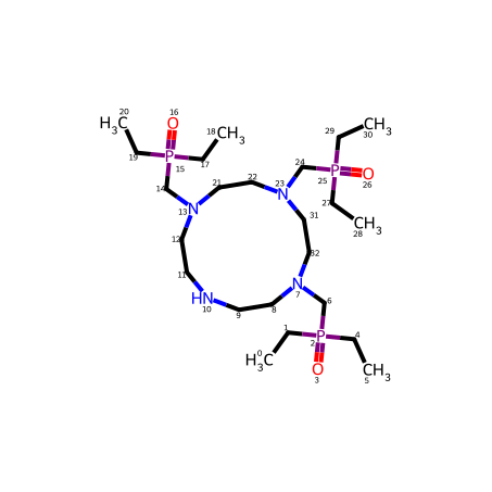 CCP(=O)(CC)CN1CCNCCN(CP(=O)(CC)CC)CCN(CP(=O)(CC)CC)CC1